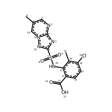 Cc1cnc2nc(S(=O)(=O)Nc3c(C(=O)O)ccc(Cl)c3C)nn2c1